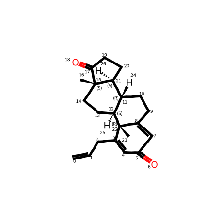 C=CCC1=CC(=O)C=C2CC[C@@H]3[C@H](CC[C@]4(C)C(=O)CC[C@@H]34)[C@@]12C